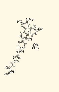 COc1ccc(-c2cnc(N3CCC(NCc4ccc(/C=C/C(=O)NO)s4)CC3)c(C#N)c2-c2ccc(C#N)c(F)c2)cc1O.O=CO